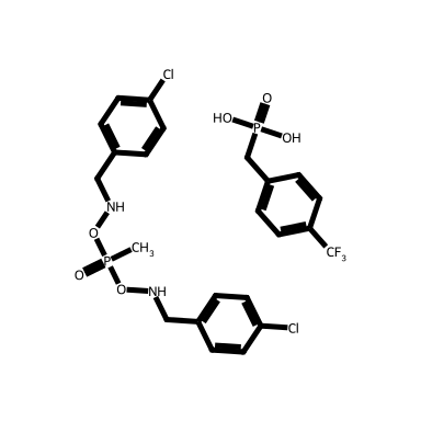 CP(=O)(ONCc1ccc(Cl)cc1)ONCc1ccc(Cl)cc1.O=P(O)(O)Cc1ccc(C(F)(F)F)cc1